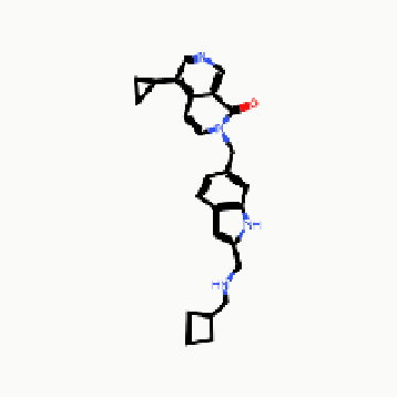 O=c1c2cncc(C3CC3)c2ccn1Cc1ccc2cc(CNCC3CCC3)[nH]c2c1